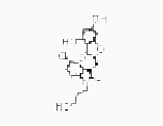 Cc1c(/C=C2/Oc3cc(O)cc(O)c3C2=O)c2cc(Cl)ccc2n1CCCC#N